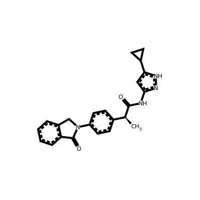 C[C@H](C(=O)Nc1cc(C2CC2)[nH]n1)c1ccc(N2Cc3ccccc3C2=O)cc1